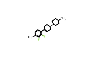 Cc1ccc(C2=CC[C@H](C3CCC(C)CC3)CC2)c(F)c1F